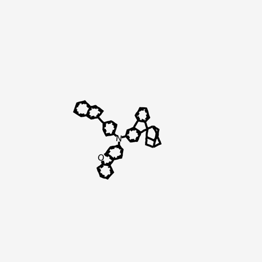 c1ccc2c(c1)-c1cc(N(c3ccc(-c4ccc5ccccc5c4)cc3)c3ccc4c(c3)oc3ccccc34)ccc1C21C2CC3CC(C2)CC1C3